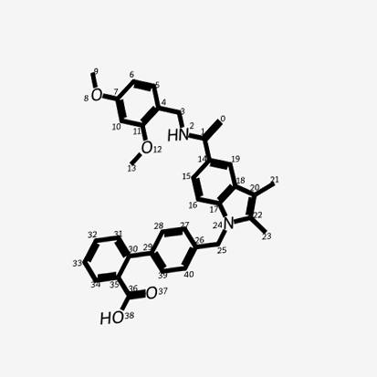 C=C(NCc1ccc(OC)cc1OC)c1ccc2c(c1)c(C)c(C)n2Cc1ccc(-c2ccccc2C(=O)O)cc1